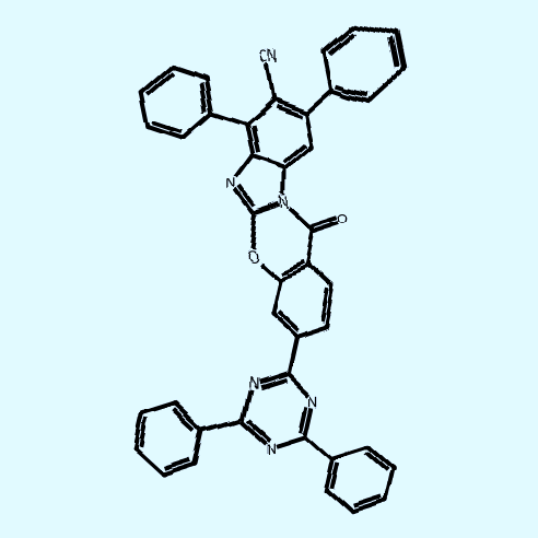 N#Cc1c(-c2ccccc2)cc2c(nc3oc4cc(-c5nc(-c6ccccc6)nc(-c6ccccc6)n5)ccc4c(=O)n32)c1-c1ccccc1